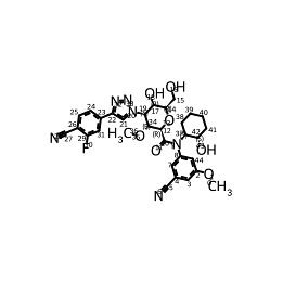 COc1cc(C#N)cc(N(C(=O)[C@@H]2O[C@H](CO)[C@H](O)[C@H](n3cc(-c4ccc(C#N)c(F)c4)nn3)[C@H]2OC)[C@H]2CCCC[C@@H]2O)c1